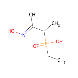 CCP(=O)(O)C(C)C(C)=NO